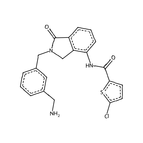 NCc1cccc(CN2Cc3c(NC(=O)c4ccc(Cl)s4)cccc3C2=O)c1